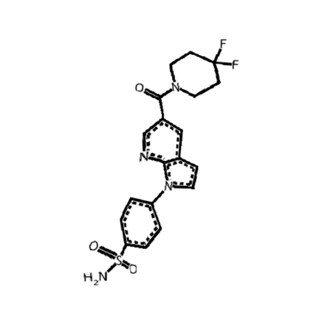 NS(=O)(=O)c1ccc(-n2ccc3cc(C(=O)N4CCC(F)(F)CC4)cnc32)cc1